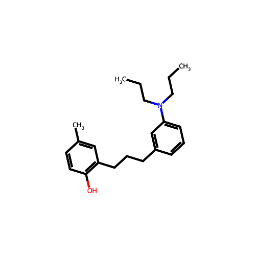 CCCN(CCC)c1cccc(CCCc2cc(C)ccc2O)c1